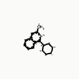 Cc1cc2ccccc2c(C2CCCCC2)n1